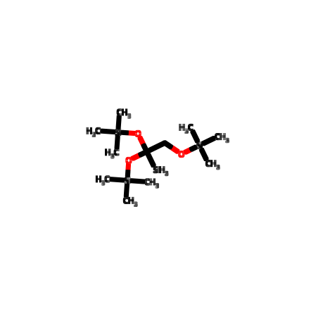 C[Si](C)(C)OCC([SiH3])(O[Si](C)(C)C)O[Si](C)(C)C